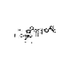 CCCN(CCC)C(=O)c1cc(C)cc(C(=O)NC[C@H](O)CNCc2cccc(-c3ccsc3C=O)c2)c1